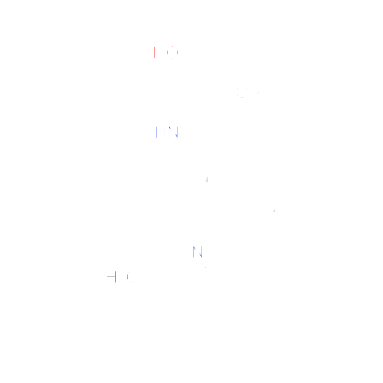 CC1(N2CCC[C@@H](NC(=O)O)C2)CC1